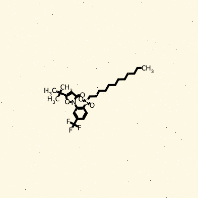 CCCCCCCCCCCCS(=O)(=O)c1ccc(C(F)(F)F)cc1-n1oc(C(C)(C)C)cc1=O